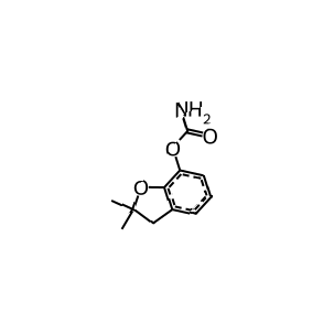 CC1(C)Cc2cccc(OC(N)=O)c2O1